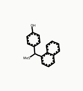 CSC(c1ccc(O)cc1)c1cccc2ccccc12